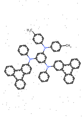 Cc1ccc(N(c2ccc(C)cc2)c2cc(N(c3ccccc3)c3ccc4c5ccccc5c5ccccc5c4c3)cc(N(c3ccccc3)c3ccc4c5ccccc5c5ccccc5c4c3)c2)cc1